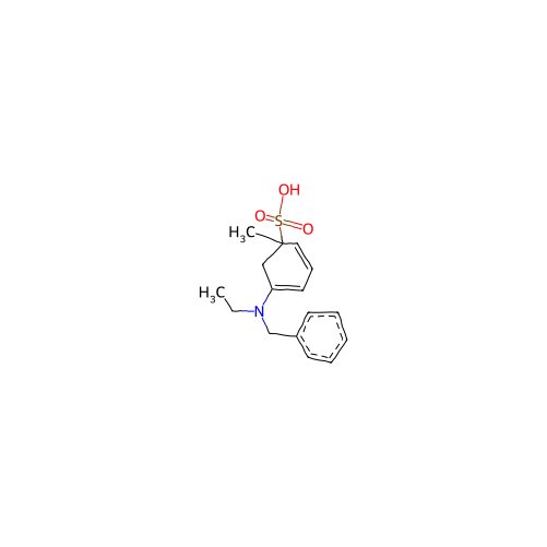 CCN(Cc1ccccc1)C1=CC=CC(C)(S(=O)(=O)O)C1